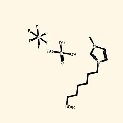 CCCCCCCCCCCCCCCC[n+]1ccn(C)c1.F[P-](F)(F)(F)(F)F.O=P(O)(O)O